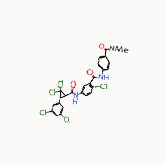 CNC(=O)c1ccc(NC(=O)c2cc(NC(=O)C3C(c4cc(Cl)cc(Cl)c4)C3(Cl)Cl)ccc2Cl)cc1